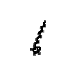 CCCC=CC=CC=Cc1ccco1